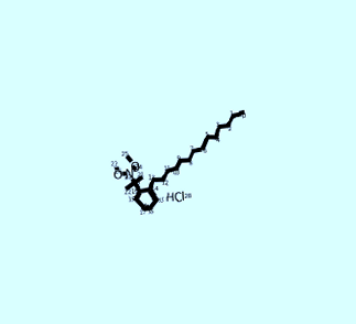 CCCCCCCCCCCCCCc1ccccc1C(C)(C)N(OC)OC.Cl